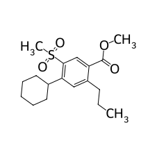 CCCc1cc(C2CCCCC2)c(S(C)(=O)=O)cc1C(=O)OC